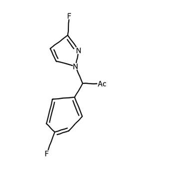 CC(=O)C(c1ccc(F)cc1)n1ccc(F)n1